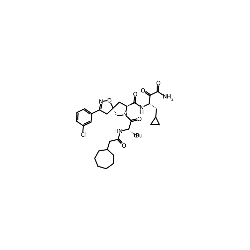 CC(C)(C)[C@H](NC(=O)CC1CCCCCC1)C(=O)N1C[C@@]2(CC(c3cccc(Cl)c3)=NO2)C[C@H]1C(=O)N[C@@H](CC1CC1)C(=O)C(N)=O